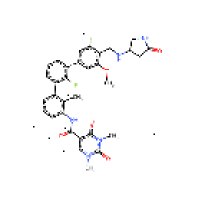 COc1cc(-c2cccc(-c3cccc(NC(=O)c4cn(C)c(=O)n(C)c4=O)c3C)c2F)cc(F)c1CNC1CNC(=O)C1